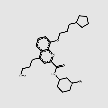 COCCOc1cc(C(=O)N[C@@H]2CCCN(C(C)C)C2)nc2c(OCCCC3CCCC3)cccc12